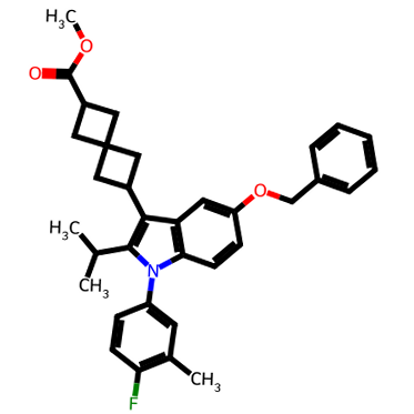 COC(=O)C1CC2(C1)CC(c1c(C(C)C)n(-c3ccc(F)c(C)c3)c3ccc(OCc4ccccc4)cc13)C2